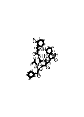 COc1cccc2[nH]c(C(=O)N[C@@H](CC(C)C)C(=O)NC(CC3CC4(CCCCC4)NC3=O)C(=O)COC(=O)C(=O)c3ccccc3)cc12